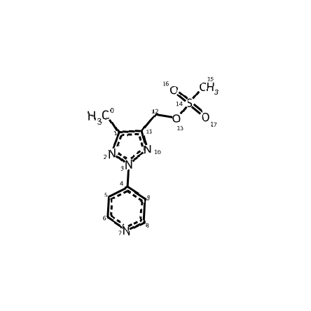 Cc1nn(-c2ccncc2)nc1COS(C)(=O)=O